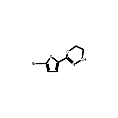 Brc1ccc(C2=NNCCO2)s1